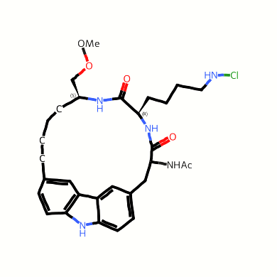 COOC[C@@H]1CCCCc2ccc3[nH]c4ccc(cc4c3c2)CC(NC(C)=O)C(=O)N[C@H](CCCCNCl)C(=O)N1